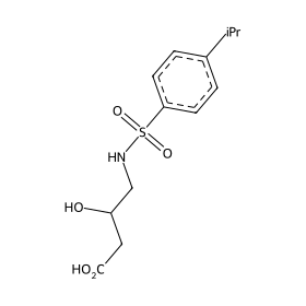 CC(C)c1ccc(S(=O)(=O)NCC(O)CC(=O)O)cc1